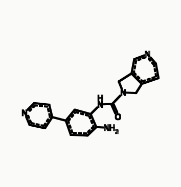 Nc1ccc(-c2ccncc2)cc1NC(=O)N1Cc2ccncc2C1